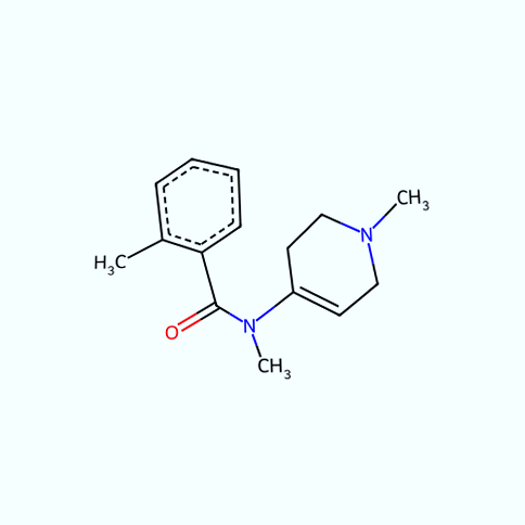 Cc1ccccc1C(=O)N(C)C1=CCN(C)CC1